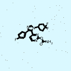 NC(=O)Oc1nccc(-c2c(-c3ccc(F)cc3)ncn2C2CCC(F)(F)CC2)n1